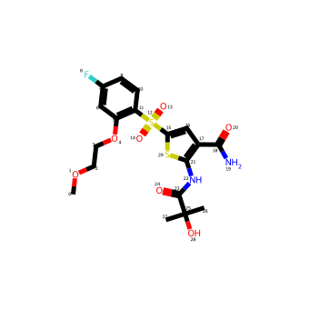 COCCOc1cc(F)ccc1S(=O)(=O)c1cc(C(N)=O)c(NC(=O)C(C)(C)O)s1